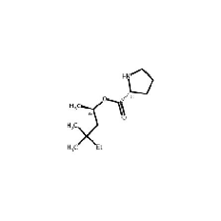 CCC(C)(C)C[C@@H](C)OC(=O)[C@H]1CCCN1